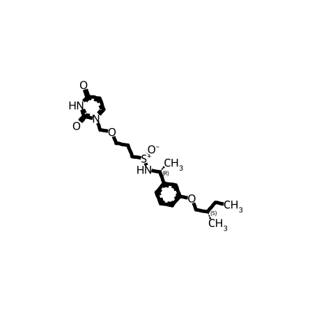 CC[C@H](C)COc1cccc([C@@H](C)N[S+]([O-])CCCOCn2ccc(=O)[nH]c2=O)c1